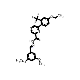 CCOc1ccc(-c2cncc(C(=O)N/N=C/c3cc(OC)cc(OC)c3)n2)c(C(F)(F)F)c1